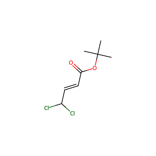 CC(C)(C)OC(=O)C=CC(Cl)Cl